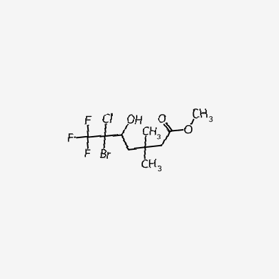 COC(=O)CC(C)(C)CC(O)C(Cl)(Br)C(F)(F)F